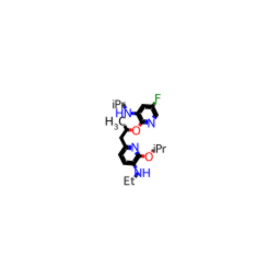 CCNc1ccc(CC(C)Oc2ncc(F)cc2NC(C)C)nc1OC(C)C